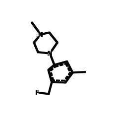 Cc1cc(CF)cc(N2CCN(C)CC2)c1